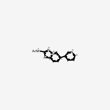 CC(=O)Nc1nc2ccc(-c3cccnc3)cn2n1